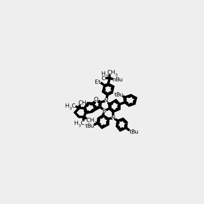 CCCCC(C)(C)c1ccc(N2c3cc(-c4ccccc4C(C)(C)C)cc4c3B(c3cc(C(C)(C)C)ccc3N4c3ccc(C(C)(C)C)cc3)c3c2oc2cc4c(cc32)C(C)(C)CCC4(C)C)cc1CC